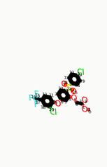 COC(=O)COc1cc(Oc2ccc(C(F)(F)F)cc2Cl)ccc1S(=O)(=O)c1ccc(Cl)cc1